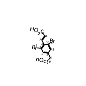 CCCCCCCCCc1cc(Br)c(C=CC(=O)O)c(Br)c1